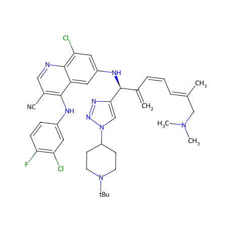 C=C(/C=C\C=C(/C)CN(C)C)[C@H](Nc1cc(Cl)c2ncc(C#N)c(Nc3ccc(F)c(Cl)c3)c2c1)c1cn(C2CCN(C(C)(C)C)CC2)nn1